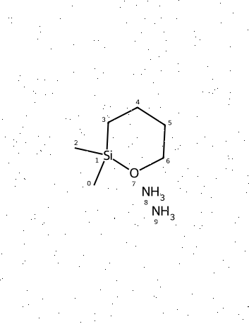 C[Si]1(C)CCCCO1.N.N